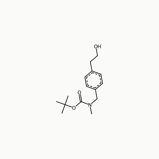 CN(Cc1ccc(CCO)cc1)C(=O)OC(C)(C)C